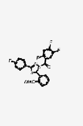 COc1ccccc1C1SC(c2ccc(F)cc2)=NN1C(=O)c1cc(F)c(F)cc1F